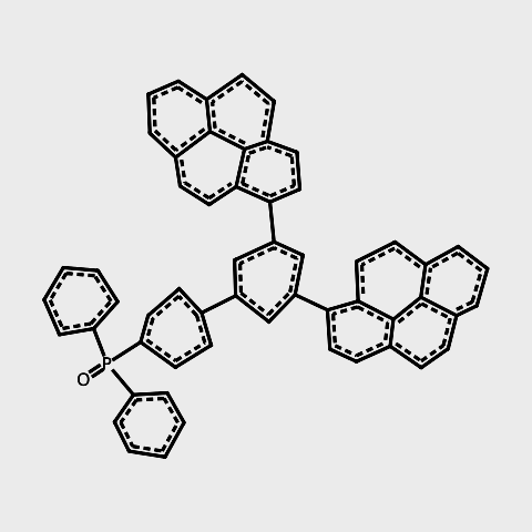 O=P(c1ccccc1)(c1ccccc1)c1ccc(-c2cc(-c3ccc4ccc5cccc6ccc3c4c56)cc(-c3ccc4ccc5cccc6ccc3c4c56)c2)cc1